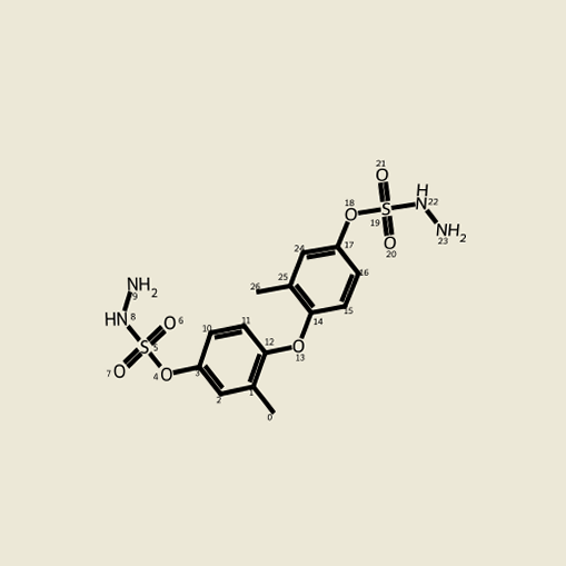 Cc1cc(OS(=O)(=O)NN)ccc1Oc1ccc(OS(=O)(=O)NN)cc1C